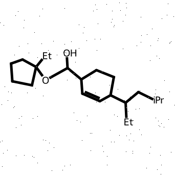 CCC(CC(C)C)C1C=CC(C(O)OC2(CC)CCCC2)CC1